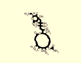 CC[C@@H]1OC(=O)C[C@@](O)(CC(N)(N)C(N)(N)/C=C(\C)C2OC(=O)CC/C=C(\C)C(C)[C@H](O)C(C)C(OC(N)=O)/C=C\C=C/[C@@H]2C)C1C